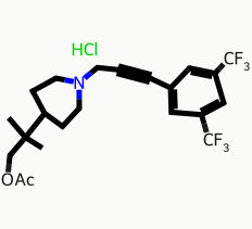 CC(=O)OCC(C)(C)C1CCN(CC#Cc2cc(C(F)(F)F)cc(C(F)(F)F)c2)CC1.Cl